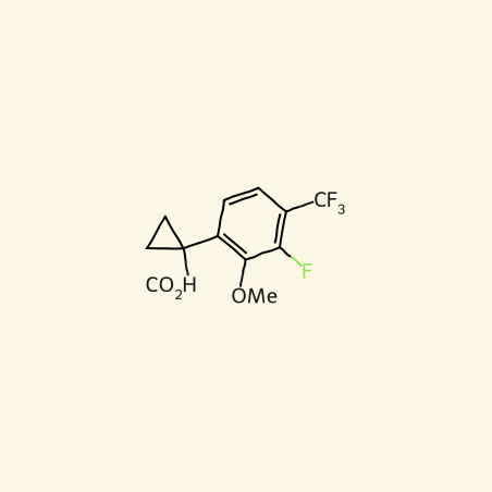 COc1c(C2(C(=O)O)CC2)ccc(C(F)(F)F)c1F